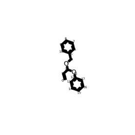 C=CC(OCc1ccccc1)Oc1ccccc1